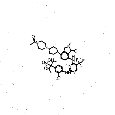 CCC(CC)(c1ccc(Nc2ncc(C(F)(F)F)c(Nc3ccc([C@H]4CC[C@H](N5CCN(C(C)=O)CC5)CC4)c4c3C(=O)N(C)C4)n2)c(OC)c1)P(=O)(O)O